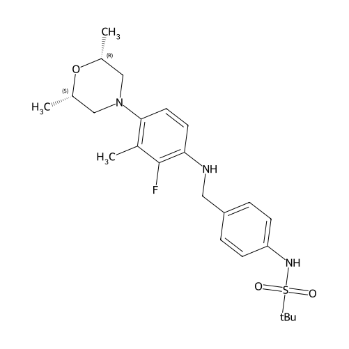 Cc1c(N2C[C@@H](C)O[C@@H](C)C2)ccc(NCc2ccc(NS(=O)(=O)C(C)(C)C)cc2)c1F